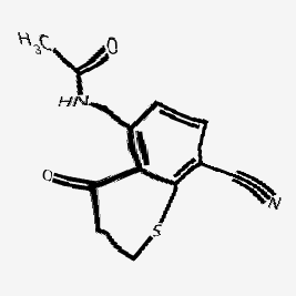 CC(=O)Nc1ccc(C#N)c2c1C(=O)CCS2